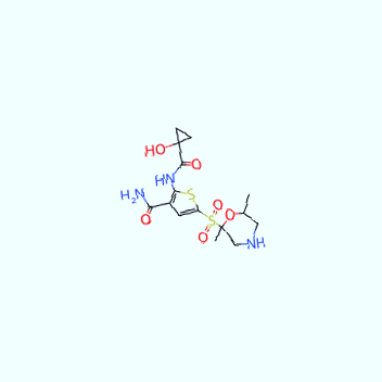 CC1CNCC(C)(S(=O)(=O)c2cc(C(N)=O)c(NC(=O)C3(O)CC3)s2)O1